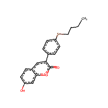 CCCCSc1ccc(-c2cc3ccc(O)cc3oc2=O)cc1